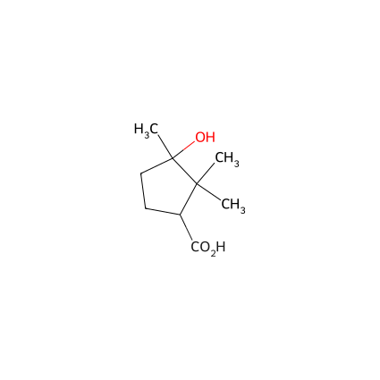 CC1(O)CCC(C(=O)O)C1(C)C